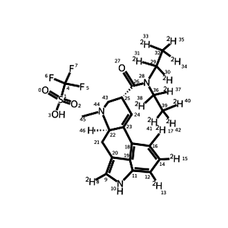 O=S(=O)(O)C(F)(F)F.[2H]c1[nH]c2c([2H])c([2H])c([2H])c3c2c1C[C@@H]1C3=C[C@@H](C(=O)N(C([2H])([2H])C([2H])([2H])[2H])C([2H])([2H])C([2H])([2H])[2H])CN1C